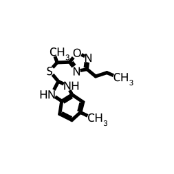 CCCc1noc(C(C)SC2Nc3ccc(C)cc3N2)n1